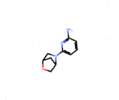 Nc1cccc(N2CC3CC2CO3)n1